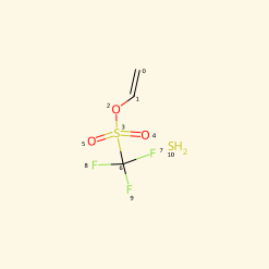 C=COS(=O)(=O)C(F)(F)F.S